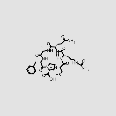 C[C@H](NC(=O)[C@H](CCC(N)=O)NC(=O)[C@H](CCCNC(N)=O)NC(=O)[C@@H](N)CS)C(=O)N[C@@H](Cc1ccccc1)C(=O)N1CCC[C@H]1C(=O)O